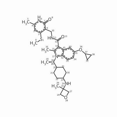 CSc1cc(C)[nH]c(=O)c1CNC(=O)c1c(C)n([C@H](C)C2CCC(NC3(C)COC3)CC2)c2ccc(OC3CC3)cc12